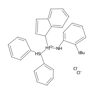 CC(C)(C)c1ccccc1[NH][Hf+2]([CH]1C=Cc2ccccc21)[SiH](c1ccccc1)c1ccccc1.[Cl-].[Cl-]